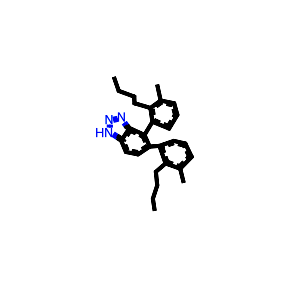 CCCCc1c(C)cccc1-c1ccc2[nH]nnc2c1-c1cccc(C)c1CCCC